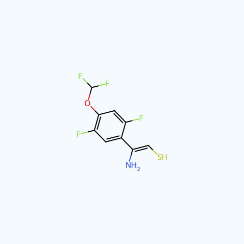 N/C(=C\S)c1cc(F)c(OC(F)F)cc1F